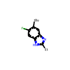 CCc1nc2cc(C(C)(C)C)c(F)cc2[nH]1